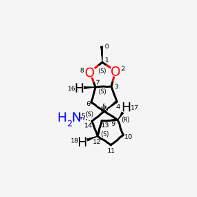 C[C@H]1OC2C[C@@]3(C[C@@H]2O1)[C@@H]1CC[C@@H](C1)[C@@H]3N